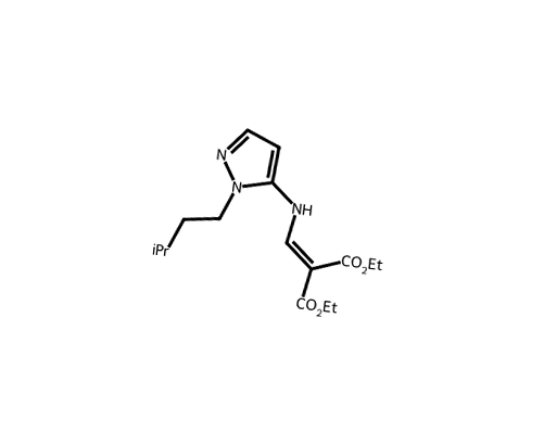 CCOC(=O)C(=CNc1ccnn1CCC(C)C)C(=O)OCC